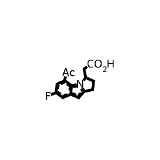 CC(=O)c1cc(F)cc2cc3n(c12)C(CC(=O)O)CC3